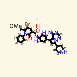 COCc1c(Br)cc(C(O)Nc2ccc(-c3cc(C4CCNCC4)n4ncnc(N)c34)cc2)c(=O)n1-c1ccccc1